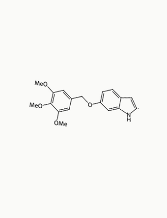 COc1cc(COc2ccc3c[c][nH]c3c2)cc(OC)c1OC